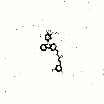 COc1cc(-n2c3ccccc3c3cc(CNC(=O)/C=C/c4cc(F)cc(F)c4)ncc32)ccc1O